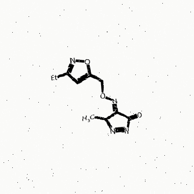 CCc1cc(CON=C2C(=O)N=NC2C)on1